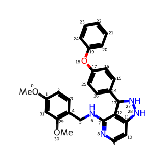 COc1ccc(CNc2nccc3c2C(c2ccc(Oc4ccccc4)cc2)NN3)c(OC)c1